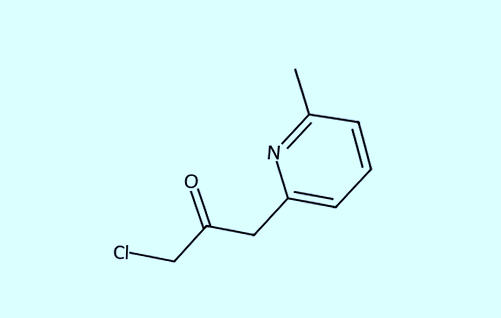 Cc1cccc(CC(=O)CCl)n1